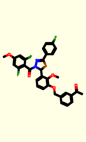 COc1cc(F)c(C(=O)N2N=C(c3ccc(F)cc3)SC2c2cccc(OCc3cccc(C(C)=O)c3)c2OC)c(F)c1